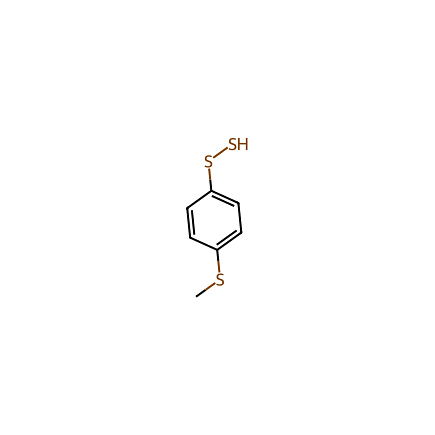 CSc1ccc(SS)cc1